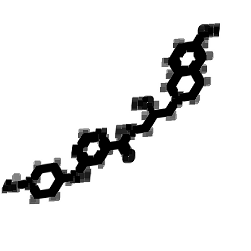 CC(=O)N1CCC(Nc2cc(C(=O)NC[C@H](O)CN3CCc4cc(O)ccc4C3)ncn2)CC1